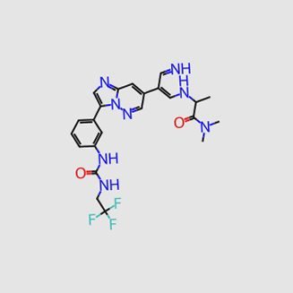 CC(N/C=C(\C=N)c1cnn2c(-c3cccc(NC(=O)NCC(F)(F)F)c3)cnc2c1)C(=O)N(C)C